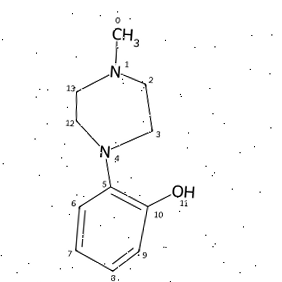 CN1CCN(c2ccc[c]c2O)CC1